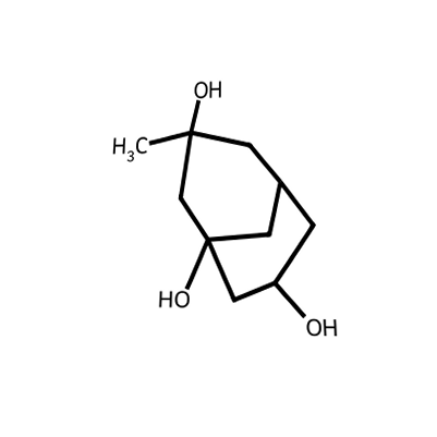 CC1(O)CC2CC(O)CC(O)(C2)C1